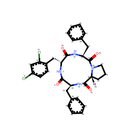 O=C1N[C@H](Cc2ccc(Cl)cc2Cl)C(=O)N[C@@H](Cc2ccccc2)C(=O)N2CCC[C@@H]2C(=O)N[C@H]1Cc1ccccc1